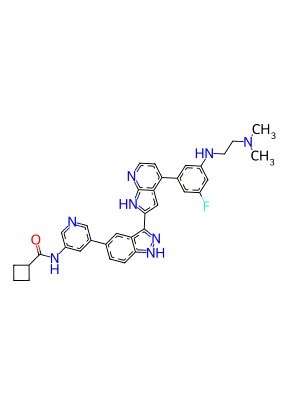 CN(C)CCNc1cc(F)cc(-c2ccnc3[nH]c(-c4n[nH]c5ccc(-c6cncc(NC(=O)C7CCC7)c6)cc45)cc23)c1